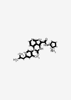 Cc1cc(CC(C)C)ncc1N1C(=O)Nc2c(C(=O)N[C@H]3CCC[C@@H]3N)sc3nccc1c23